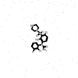 NC(=O)N(c1ccc(Cl)c(S(=O)(=O)N2CCNCC2)c1O)c1cccc(F)c1Cl